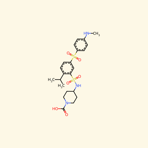 CNc1ccc(S(=O)(=O)c2ccc(C(C)C)c(S(=O)(=O)NC3CCN(C(=O)O)CC3)c2)cc1